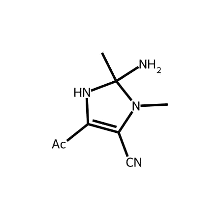 CC(=O)C1=C(C#N)N(C)C(C)(N)N1